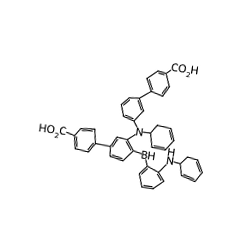 O=C(O)c1ccc(-c2cccc(N(c3cc(-c4ccc(C(=O)O)cc4)ccc3Bc3ccccc3NC3C=CC=CC3)C3C=CC=CC3)c2)cc1